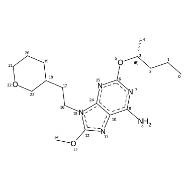 CCC[C@@H](C)Oc1nc(N)c2nc(OC)n(CCC3CCCOC3)c2n1